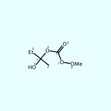 CCC(C)(O)OC(=O)OOC